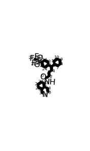 O=C(C=CC=C(c1ccccc1)c1ccc(S(=O)(=O)C(F)(F)F)cc1)Nc1cccc2cnccc12